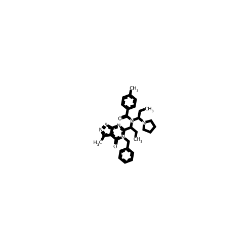 CCC(c1nc2snc(C)c2c(=O)n1Cc1ccccc1)N(C(=O)c1ccc(C)cc1)C(CC)N1CCCC1